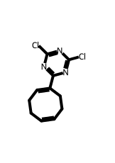 Clc1nc(Cl)nc(/C2=C/CC/C=C\CC2)n1